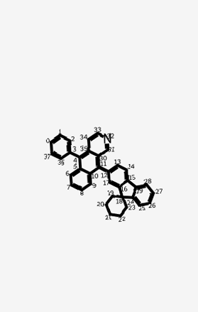 c1ccc(-c2c3ccccc3c(-c3ccc4c(c3)C3(CCCCC3)c3ccccc3-4)c3cnccc23)cc1